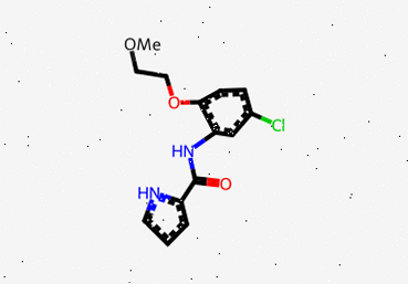 COCCOc1ccc(Cl)cc1NC(=O)c1ccc[nH]1